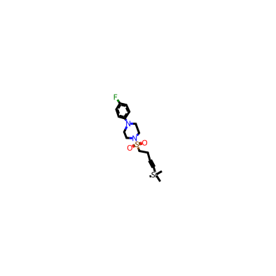 C[Si](C)(C)C#CCCS(=O)(=O)N1CCN(c2ccc(F)cc2)CC1